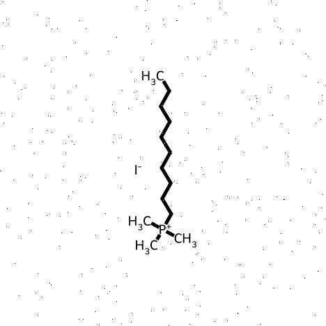 CCCCCCCCCC[P+](C)(C)C.[I-]